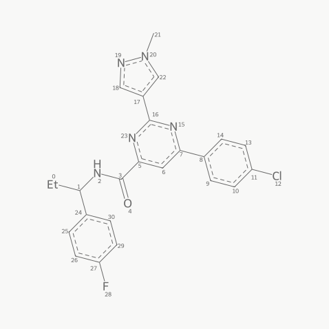 CCC(NC(=O)c1cc(-c2ccc(Cl)cc2)nc(-c2cnn(C)c2)n1)c1ccc(F)cc1